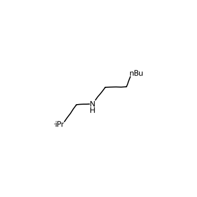 CCCCCCNC[C](C)C